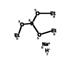 CCOB(OCC)OCC.[H-].[Na+]